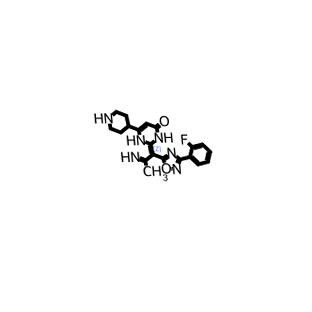 CC(=N)/C(=C1/NC(=O)C=C(C2CCNCC2)N1)c1nc(-c2ccccc2F)no1